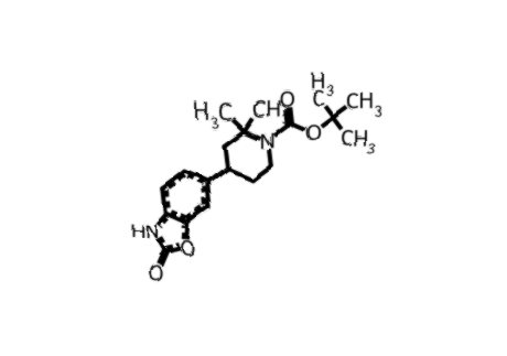 CC(C)(C)OC(=O)N1CCC(c2ccc3[nH]c(=O)oc3c2)CC1(C)C